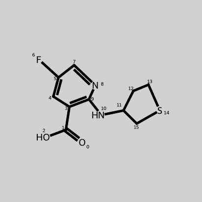 O=C(O)c1cc(F)cnc1NC1CCSC1